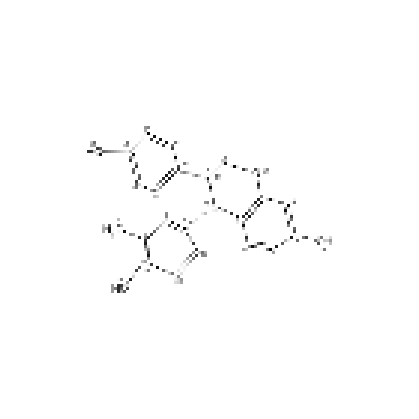 Cc1cc([C@H]2c3ccc(O)cc3OC[C@H]2c2ccc(O)cc2)ccc1O